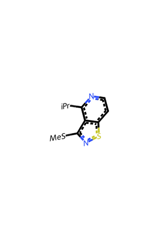 CSc1nsc2ccnc(C(C)C)c12